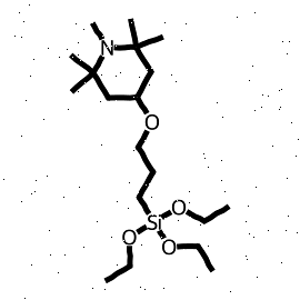 CCO[Si](CCCOC1CC(C)(C)N(C)C(C)(C)C1)(OCC)OCC